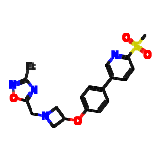 CCc1noc(CN2CC(Oc3ccc(-c4ccc(S(C)(=O)=O)nc4)cc3)C2)n1